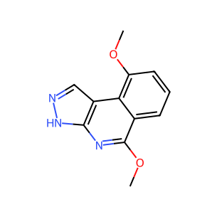 COc1nc2[nH]ncc2c2c(OC)cccc12